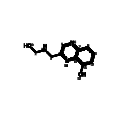 OCNCc1cnc2cccc(O)c2n1